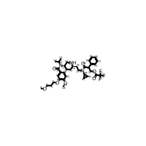 COCCCOc1cc(C(=O)N(C(C)C)[C@@H]2CC[C@H](CCN(C(=O)C(COC(=O)C(F)(F)F)c3ccccc3)C3CC3)NC2)ccc1OC